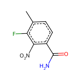 Cc1ccc(C(N)=O)c([N+](=O)[O-])c1F